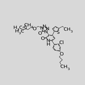 CCCCOc1ccc(-c2cc(-c3ccc(CC)s3)c(-n3nnn(COCC[Si](C)(C)C)c3=O)c(=O)[nH]2)c(Cl)c1